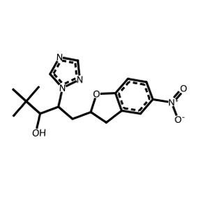 CC(C)(C)C(O)C(CC1Cc2cc([N+](=O)[O-])ccc2O1)n1cncn1